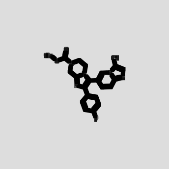 CC(C)(C)OC(=O)N1CCn2c(nc(-c3ccc(F)cc3)c2-c2ccc3ncc(C#N)n3c2)C1